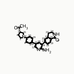 C[S+]([O-])[C@@H]1CCN(c2ccc(-c3cnc(N)c(-c4ccc5c(c4)CCNC5=O)c3)cc2)C1